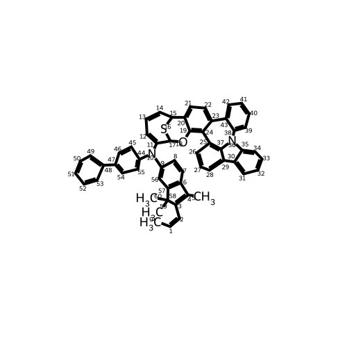 C/C=C\C1=C(C)c2ccc(N(C3=CC=CC4SC3Oc3c4ccc4c3-c3cccc5c6ccccc6n(c35)-c3ccccc3-4)c3ccc(-c4ccccc4)cc3)cc2C1(C)C